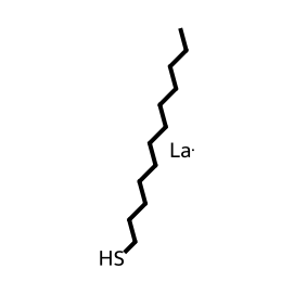 CCCCCCCCCCCCS.[La]